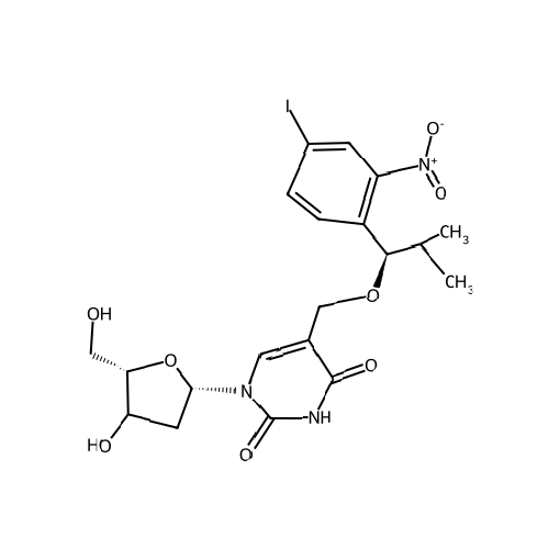 CC(C)[C@@H](OCc1cn([C@@H]2CC(O)[C@H](CO)O2)c(=O)[nH]c1=O)c1ccc(I)cc1[N+](=O)[O-]